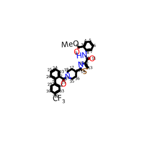 COC(=O)c1ccccc1NC(=O)c1csc(C2CCN(C(=O)c3ccccc3-c3ccc(C(F)(F)F)cc3)CC2)n1